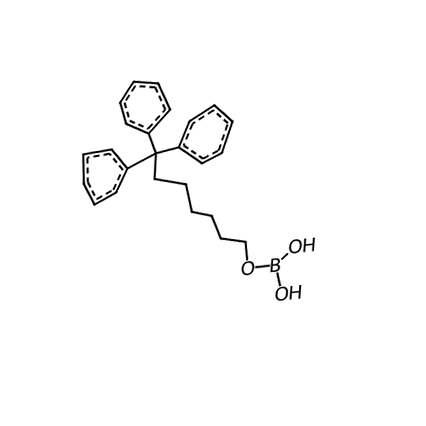 OB(O)OCCCCCCC(c1ccccc1)(c1ccccc1)c1ccccc1